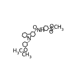 CCS(=O)(=O)c1ccc(CNC(=O)c2ccc3c(c2)c2ccccc2n3Cc2cccc(OC(C)C)c2)cc1